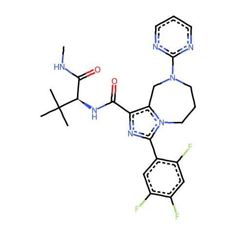 CNC(=O)[C@@H](NC(=O)c1nc(-c2cc(F)c(F)cc2F)n2c1CN(c1ncccn1)CCC2)C(C)(C)C